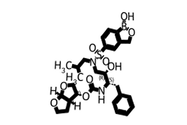 CC(C)CN(C[C@@H](O)[C@H](Cc1ccccc1)NC(=O)O[C@H]1CO[C@H]2OCC[C@H]21)S(=O)(=O)c1ccc2c(c1)COB2O